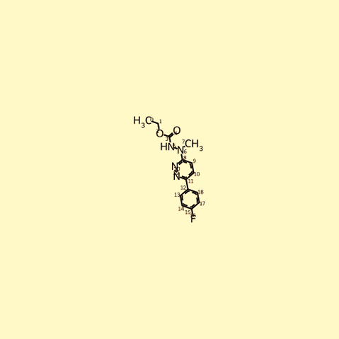 CCOC(=O)NN(C)c1ccc(-c2ccc(F)cc2)nn1